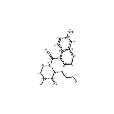 CSCCC1C(=O)N(C)CCN1C(=O)c1cccc2cc(N)ccc12